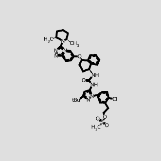 C[C@@H]1CCC[C@H](C)N1c1nnc2ccc(O[C@@H]3CC[C@H](NC(=O)Nc4cc(C(C)(C)C)nn4-c4ccc(Cl)c(CCOS(C)(=O)=O)c4)c4ccccc43)cn12